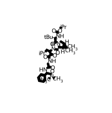 CC(C)CC(NC(=O)[C@@H]1[C@@H]2[C@H](CN1C(=O)[C@@H](NC(=O)OC(C)C)C(C)(C)C)C2(C)C)C(=O)C(=O)NCC(=O)N[C@H](C(=O)N(C)C)c1ccccc1